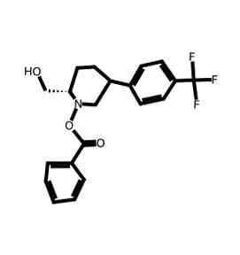 O=C(ON1CC(c2ccc(C(F)(F)F)cc2)CC[C@H]1CO)c1ccccc1